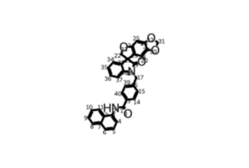 O=C(Nc1cccc2ccccc12)c1ccc(CN2C(=O)C3(COc4cc5c(cc43)OCO5)c3ccccc32)cc1